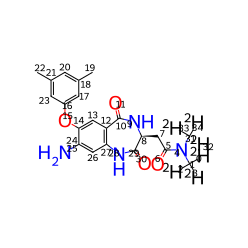 [2H]C([2H])([2H])N(C(=O)C[C@@H]1NC(=O)c2cc(Oc3cc(C)cc(C)c3)c(N)cc2NC1=O)C([2H])([2H])[2H]